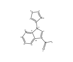 CC(=O)c1cn(-c2cscn2)c2ncccc12